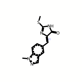 CSC1=N/C(=C\c2ccc3c(cnn3C)c2)C(=O)N1